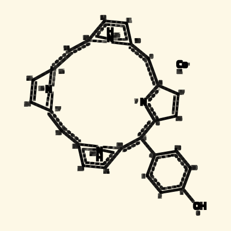 Oc1ccc(-c2c3nc(cc4ccc(cc5nc(cc6ccc2[nH]6)C=C5)[nH]4)C=C3)cc1.[Co]